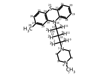 [2H]C([2H])(N1CCN(C)CC1)C([2H])([2H])C([2H])([2H])N1c2ccccc2Sc2ccc(C)cc21